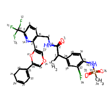 CC(C(=O)NCc1ccc(C(F)(F)F)nc1C1=COC=C(C2=CC=CCC2)O1)c1ccc(NS(C)(=O)=O)c(F)c1